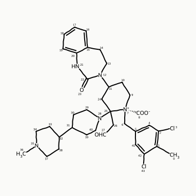 Cc1c(Cl)cc(C[N@+]2(C(=O)[O-])CCC(N3CCc4ccccc4NC3=O)CC2(CC=O)N2CCC(C3CCN(C)CC3)CC2)cc1Cl